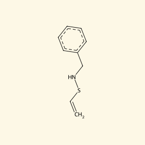 C=CSNCc1ccccc1